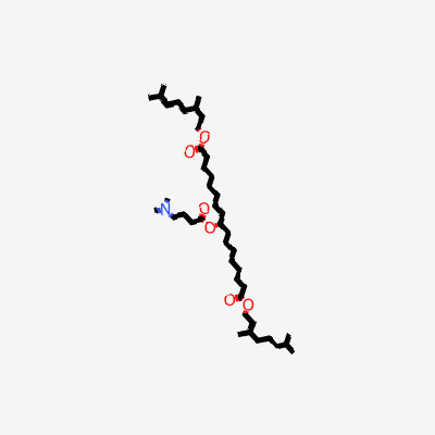 CC(C)CCCC(C)CCOC(=O)CCCCCCCC(CCCCCCCC(=O)OCCC(C)CCCC(C)C)OC(=O)CCCN(C)C